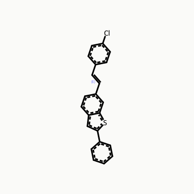 Clc1ccc(/C=C/c2ccc3cc(-c4ccccc4)sc3c2)cc1